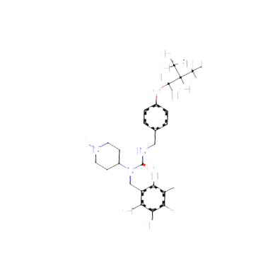 [2H]c1c([2H])c(CN(C(=O)NCc2ccc(OC([2H])([2H])C([2H])(C([2H])([2H])[2H])C([2H])([2H])[2H])cc2)C2CCN(C)CC2)c([2H])c([2H])c1F